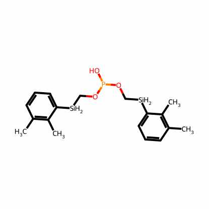 Cc1cccc([SiH2]COP(O)OC[SiH2]c2cccc(C)c2C)c1C